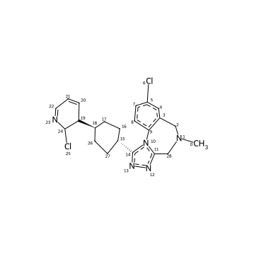 CN1Cc2cc(Cl)ccc2-n2c(nnc2[C@H]2CC[C@H](C3C=CC=NC3Cl)CC2)C1